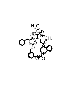 CCOP(=O)(OCC)C(O)[C@H](CCC(=O)N1CCN(C(=O)O)Cc2ccccc21)NC(=O)C(CC1CCCCC1)NC(=O)OCc1cccc(Cl)c1